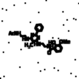 COc1cccc(C(=O)NCCNc2nc(-c3ccccc3)nc(NCCNC(C)=O)c2C)c1O